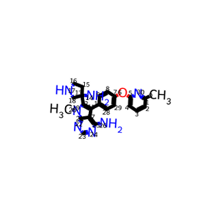 Cc1cccc(Oc2ccc(-c3c(C4(N)CCNC4)n(C)c4ncnc(N)c34)cc2)n1